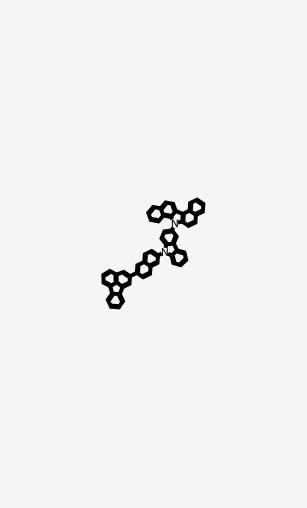 c1ccc2c(c1)-c1cccc3cc(-c4ccc5cc(-n6c7ccccc7c7cc(-n8c9ccc%10ccccc%10c9c9ccc%10ccccc%10c98)ccc76)ccc5c4)cc-2c13